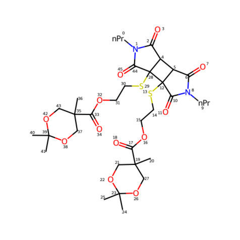 CCCN1C(=O)C2C3C(=O)N(CCC)C(=O)C3(SCCOC(=O)C3(C)COC(C)(C)OC3)C2(SCCOC(=O)C2(C)COC(C)(C)OC2)C1=O